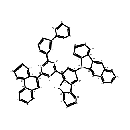 c1ccc(-c2cccc(-c3nc(-c4cc5ccccc5c5ccccc45)nc(-c4cc(-n5c6ccccc6c6cc7ccccc7cc65)cc5c4oc4ccccc45)n3)c2)cc1